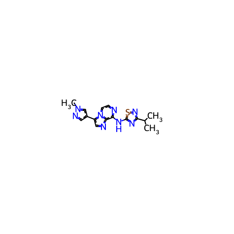 CC(C)c1nsc(Nc2nccn3c(-c4cnn(C)c4)cnc23)n1